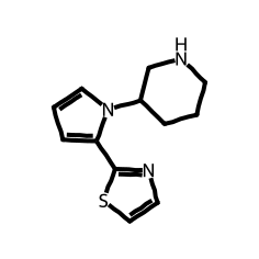 c1cc(-c2nccs2)n(C2CCCNC2)c1